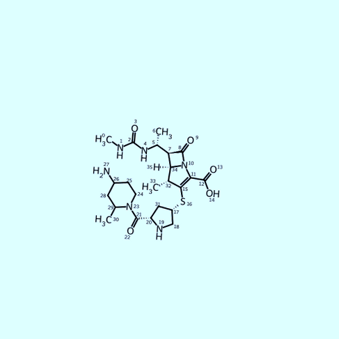 CNC(=O)N[C@H](C)[C@H]1C(=O)N2C(C(=O)O)=C(S[C@@H]3CN[C@H](C(=O)N4CCC(N)CC4C)C3)[C@H](C)[C@@H]12